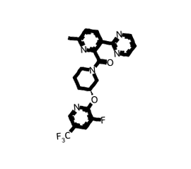 Cc1ccc(-c2ncccn2)c(C(=O)N2CCC[C@@H](Oc3ncc(C(F)(F)F)cc3F)C2)n1